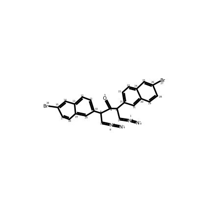 [N-]=[N+]=CC(C(=O)C(C=[N+]=[N-])c1ccc2cc(Br)ccc2c1)c1ccc2cc(Br)ccc2c1